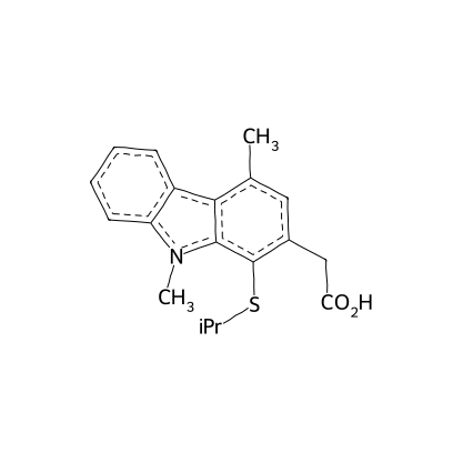 Cc1cc(CC(=O)O)c(SC(C)C)c2c1c1ccccc1n2C